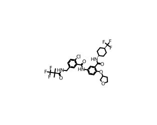 CC(C)(C(=O)NCc1ccc(Cl)c(C(=O)Nc2ccc(OC3CCOC3)c(C(=O)N[C@H]3CC[C@H](C(F)(F)F)CC3)c2)c1)C(F)(F)F